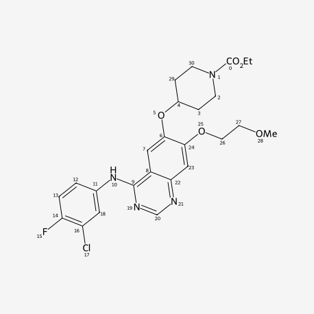 CCOC(=O)N1CCC(Oc2cc3c(Nc4ccc(F)c(Cl)c4)ncnc3cc2OCCOC)CC1